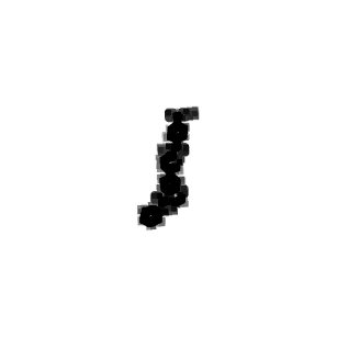 O=C(O)C1CCC(C(=O)Nc2ccc(-c3ccc4c(c3)OCCN4C(=O)Nc3ccccc3)cn2)CC1